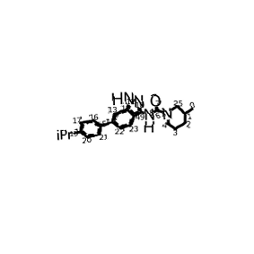 CC1CCCN(C(=O)Nc2n[nH]c3cc(-c4ccc(C(C)C)cc4)ccc23)C1